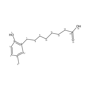 Cc1ccc(O)c(CCCCCCCC(=O)O)c1